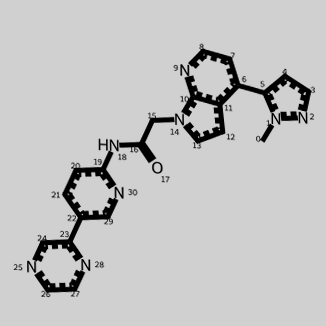 Cn1nccc1-c1ccnc2c1ccn2CC(=O)Nc1ccc(-c2cnccn2)cn1